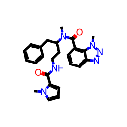 CN(C(=O)c1cccc2nnn(C)c12)C(CCNC(=O)c1cccn1C)Cc1ccccc1